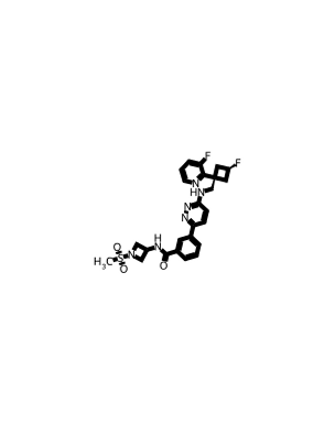 CS(=O)(=O)N1CC(NC(=O)c2cccc(-c3ccc(NC[C@]4(c5ncccc5F)C[C@H](F)C4)nn3)c2)C1